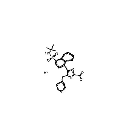 CC(C)(C)NS(=O)(=O)c1ccc(-c2sc(C(=O)[O-])nc2Cc2ccccc2)c2ccccc12.[K+]